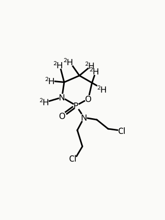 [2H]N1C([2H])([2H])C([2H])([2H])C([2H])([2H])OP1(=O)N(CCCl)CCCl